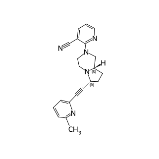 Cc1cccc(C#C[C@H]2CC[C@H]3CN(c4ncccc4C#N)CCN32)n1